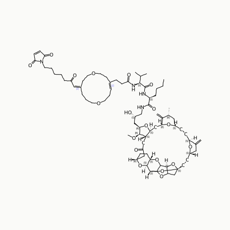 C=C1C[C@@H]2CC[C@@]34CC5OC6C(O[C@H]7CC[C@H](CC(=O)C[C@@H]8[C@@H](OC)[C@@H](C[C@H](O)CNC(=O)[C@H](CCCC)NC(=O)[C@@H](NC(=O)CC/C9=C/CCOCCC/C(=C/C(=O)CCCCCN%10C(=O)C=CC%10=O)CCOCC9)C(C)C)O[C@H]8C[C@H]8O[C@@H](CC[C@@H]1O2)C[C@@H](C)C8=C)O[C@@H]7[C@@H]6O3)[C@H]5O4